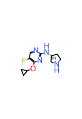 Fc1cnc(N[C@@H]2CCNC2)nc1OC1CC1